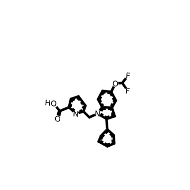 O=C(O)c1cccc(Cn2c(-c3ccccc3)cc3cc(OC(F)F)ccc32)n1